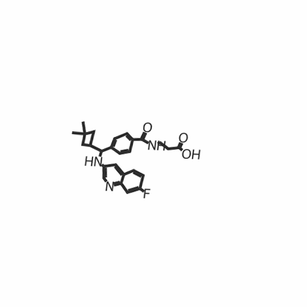 CC1(C)CC(C(Nc2cnc3cc(F)ccc3c2)c2ccc(C(=O)NCCC(=O)O)cc2)C1